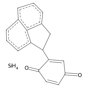 O=C1C=CC(=O)C(C2Cc3cccc4cccc2c34)=C1.[SiH4]